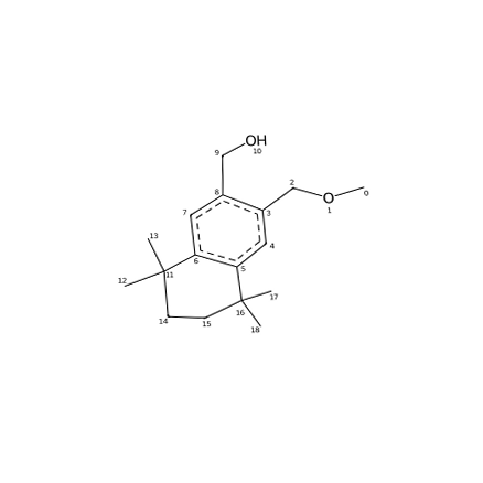 COCc1cc2c(cc1CO)C(C)(C)CCC2(C)C